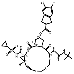 CC(C)(C)NC(=O)N[C@H]1CCCCC/C=C\[C@@H]2C[C@@]2(C(=O)NS(=O)(=O)C2CC2)NC(=O)[C@@H]2C[C@@H](OC(=O)N3Cc4cc(Cl)c(Cl)cc4C3)CN2C1=O